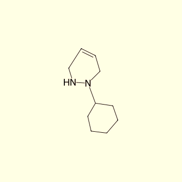 C1=CCN(C2CCCCC2)NC1